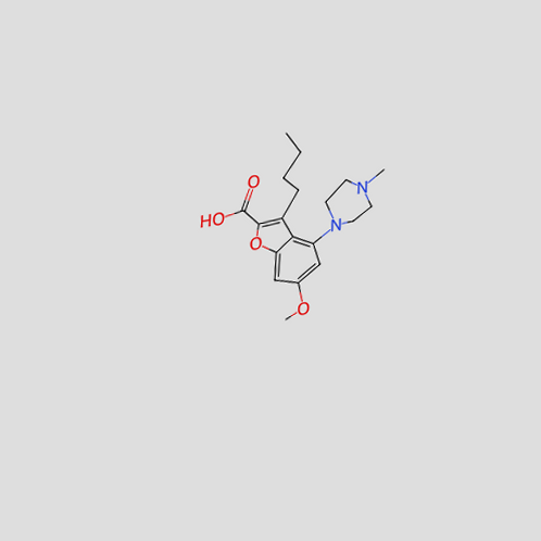 CCCCc1c(C(=O)O)oc2cc(OC)cc(N3CCN(C)CC3)c12